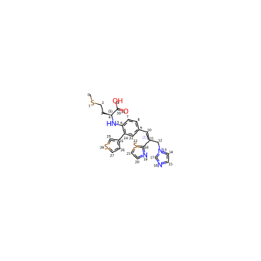 CSCC[C@H](Nc1ccc(/C=C(/Cn2ccnc2)c2nccs2)cc1-c1ccsc1)C(=O)O